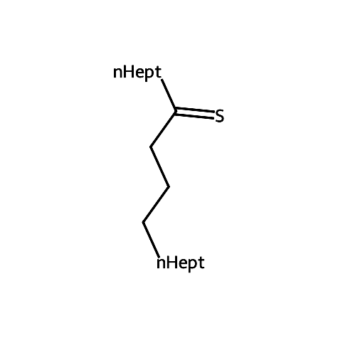 CCCCCCCCCCC(=S)CCCCCCC